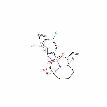 C=C[C@@H]1CN(CCCOC)C(=O)[C@@H]2CCC[C@H]1N2S(=O)(=O)c1cc(Cl)cc(Cl)c1